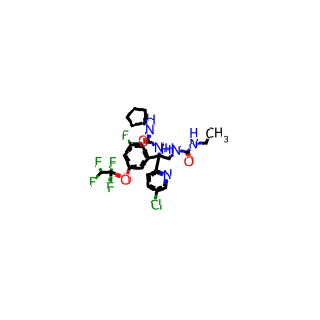 CCNC(=O)NCC(NC(=O)NC1CCCC1)(c1cc(F)cc(OC(F)(F)C(F)F)c1)c1ccc(Cl)cn1